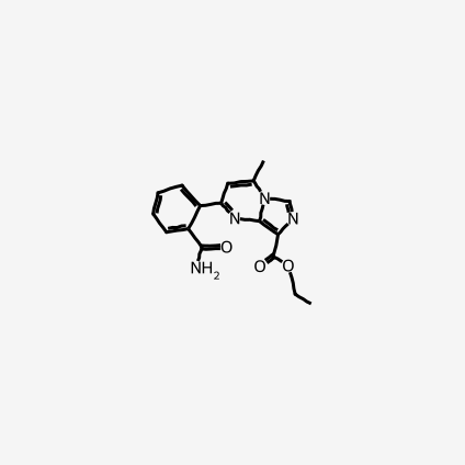 CCOC(=O)c1ncn2c(C)cc(-c3ccccc3C(N)=O)nc12